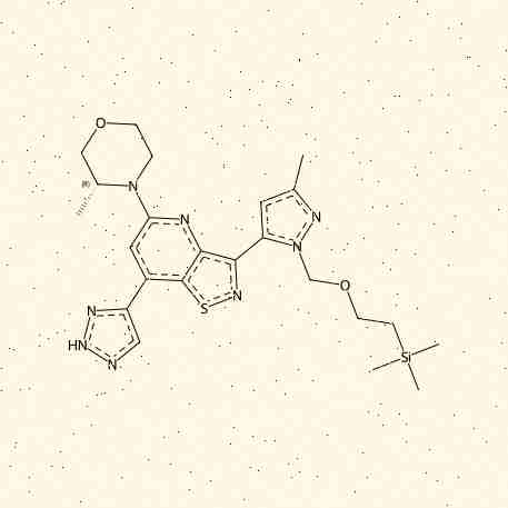 Cc1cc(-c2nsc3c(-c4cn[nH]n4)cc(N4CCOC[C@H]4C)nc23)n(COCC[Si](C)(C)C)n1